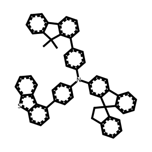 CC1(C)c2ccccc2-c2cccc(-c3ccc(N(c4ccc(-c5cccc6sc7ccccc7c56)cc4)c4ccc5c(c4)C4(CCc6ccccc64)c4ccccc4-5)cc3)c21